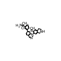 COc1cc2c(cc1N1CN=Cc3ccc(-c4cccc(C(C)(C)N)c4)cc31)CNCC2